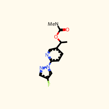 CNC(=O)OC(C)c1ccc(-n2cc(F)cn2)nc1